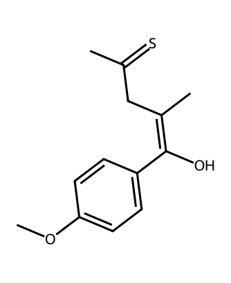 COc1ccc(/C(O)=C(/C)CC(C)=S)cc1